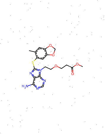 COC(=O)CCOCCn1c(Sc2cc3c(cc2C)OCO3)nc2c(N)ncnc21